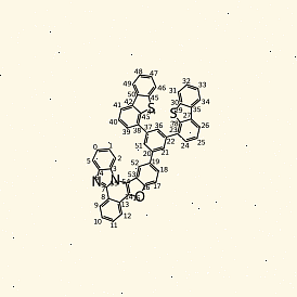 c1ccc2c(c1)nc1c3ccccc3c3oc4ccc(-c5cc(-c6cccc7c6sc6ccccc67)cc(-c6cccc7c6sc6ccccc67)c5)cc4c3n21